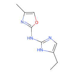 CCc1cnc(Nc2nc(C)co2)[nH]1